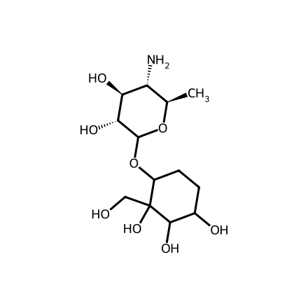 C[C@H]1OC(OC2CCC(O)C(O)C2(O)CO)[C@H](O)[C@@H](O)[C@@H]1N